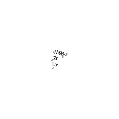 [Ba].[Mg].[Ta].[Zr]